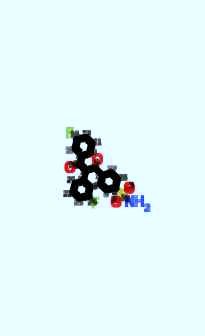 NS(=O)(=O)c1ccc(-c2oc3ccc(F)cc3c(=O)c2-c2cccc(F)c2)cc1